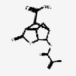 C=C(C)C(=O)OC1C2CC3C1OC(=O)C3C2C(=O)NC(C)=O